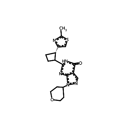 Cc1nc([C@H]2CCC2c2nc3c(cnn3C3CCOCC3)c(=O)[nH]2)cs1